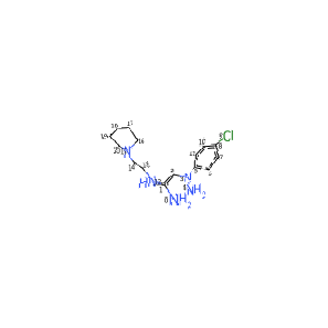 N/C(=C\N(N)c1ccc(Cl)cc1)NCCN1CCCCC1